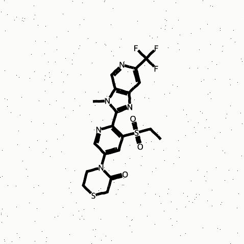 CCS(=O)(=O)c1cc(N2CCSCC2=O)cnc1-c1nc2cc(C(F)(F)F)ncc2n1C